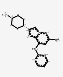 Nc1cc(Nc2ncccn2)c2nc([C@H]3CC[C@H](N)CC3)cn2n1